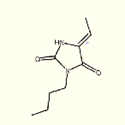 C/C=C1\NC(=O)N(CCCC)C1=O